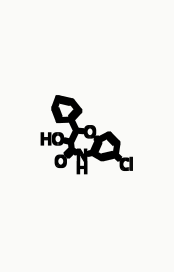 O=C1Nc2cc(Cl)ccc2OC(c2ccccc2)C1O